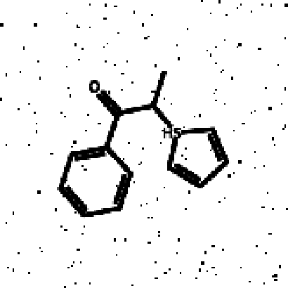 CC(C(=O)c1ccccc1)[SH]1C=CC=C1